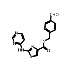 O=Cc1ccc(CNC(=O)c2csc(Nc3ccncn3)n2)cc1